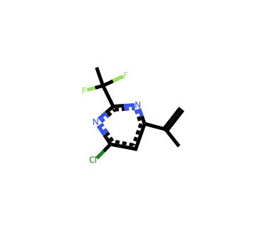 C=C(C)c1cc(Cl)nc(C(C)(F)F)n1